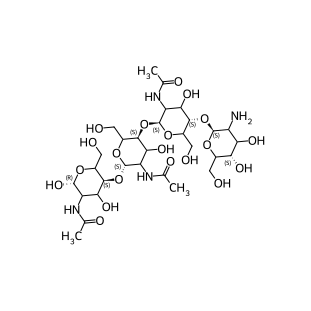 CC(=O)NC1C(O)[C@H](O[C@@H]2OC(CO)[C@@H](O)C(O)C2N)C(CO)O[C@H]1O[C@@H]1C(CO)O[C@@H](O[C@@H]2C(CO)O[C@@H](O)C(NC(C)=O)C2O)C(NC(C)=O)C1O